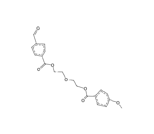 COc1ccc(C(=O)OCCOCCOC(=O)c2ccc(C=O)cc2)cc1